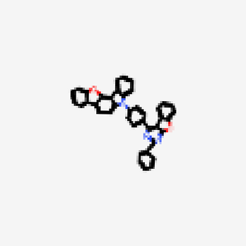 c1ccc(-c2nc(-c3ccc(-n4c5ccccc5c5c6oc7ccccc7c6ccc54)cc3)c3c(n2)oc2ccccc23)cc1